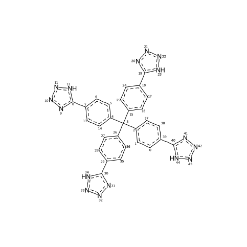 c1cc(C(c2ccc(-c3nnn[nH]3)cc2)(c2ccc(-c3nnn[nH]3)cc2)c2ccc(-c3nnn[nH]3)cc2)ccc1-c1nnn[nH]1